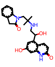 CC(C)(CN1C(=O)Cc2ccccc21)NCC(O)c1cc(O)cc2[nH]c(=O)ccc12